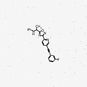 CC(C)NC(C)c1nc(-c2ccc(C#Cc3cccc(F)c3)cn2)no1